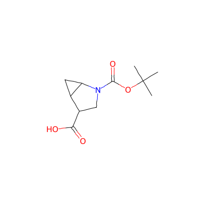 CC(C)(C)OC(=O)N1CC(C(=O)O)C2CC21